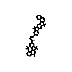 Cc1cc2c3c4c(cccc14)C(C)(C)c1cc(-c4ccc(-c5ccc6c(c5)C(C)(C)c5cc7c(cc5-6)C(C)(C)c5ccc6ccccc6c5-7)o4)cc(c1-3)C2(C)C